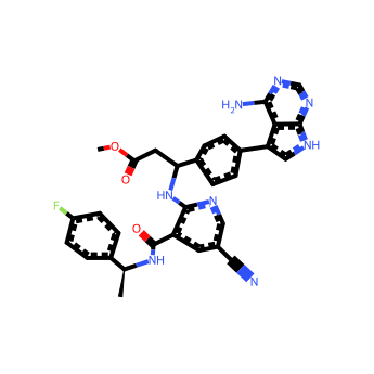 COC(=O)CC(Nc1ncc(C#N)cc1C(=O)N[C@@H](C)c1ccc(F)cc1)c1ccc(-c2c[nH]c3ncnc(N)c23)cc1